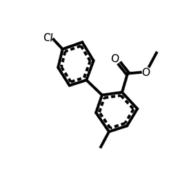 COC(=O)c1ccc(C)cc1-c1ccc(Cl)cc1